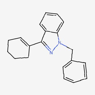 C1=C(c2nn(Cc3ccccc3)c3ccccc23)CCCC1